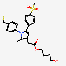 Cc1c(CC(=O)OCCCCO)cc(-c2ccc(S(C)(=O)=O)cc2)n1-c1ccc(C=S)cc1